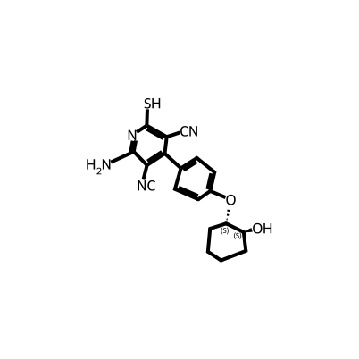 [C-]#[N+]c1c(N)nc(S)c(C#N)c1-c1ccc(O[C@H]2CCCC[C@@H]2O)cc1